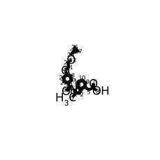 Cc1cc2c(CC(=O)O)cccc2n1C(=O)c1ccc(OCCOCC2CC2)cc1